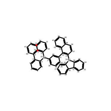 c1ccc(-c2ccccc2N(c2ccccc2)c2cccc(-c3c(-n4c5ccccc5c5ccccc54)ccc4ccccc34)c2)cc1